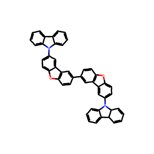 C1=CC2c3ccccc3N(c3ccc4oc5ccc(-c6ccc7oc8ccc(-n9c%10ccccc%10c%10ccccc%109)cc8c7c6)cc5c4c3)C2C=C1